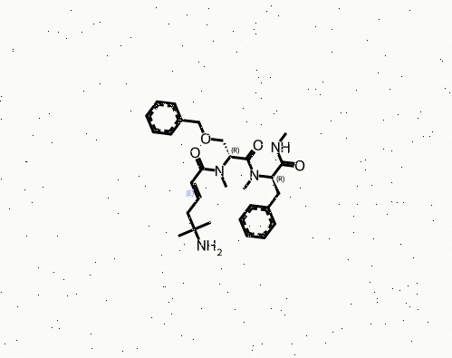 CNC(=O)[C@@H](Cc1ccccc1)N(C)C(=O)[C@@H](COCc1ccccc1)N(C)C(=O)/C=C/CC(C)(C)N